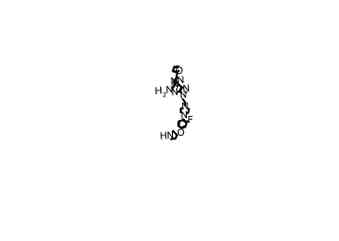 Nc1nc2c(ncn2CCN2CCN(c3ccc(OC4CCNC4)cc3F)CC2)c2nc(-c3ccco3)nn12